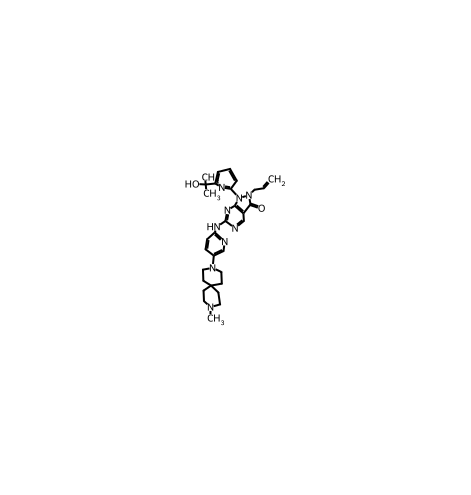 C=CCn1c(=O)c2cnc(Nc3ccc(N4CCC5(CCN(C)CC5)CC4)cn3)nc2n1-c1cccc(C(C)(C)O)n1